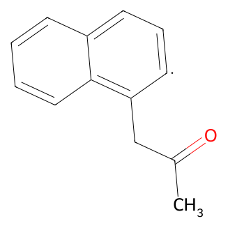 CC(=O)Cc1[c]ccc2ccccc12